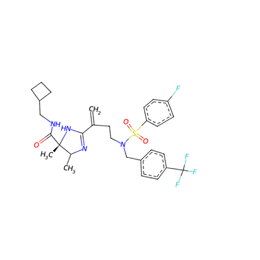 C=C(CCN(Cc1ccc(C(F)(F)F)cc1)S(=O)(=O)c1ccc(F)cc1)C1=NC(C)[C@](C)(C(=O)NCC2CCC2)N1